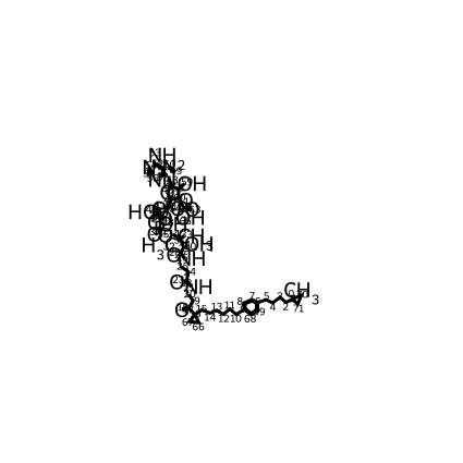 CC1(CCCCc2ccc(CCCCCCC3(C(=O)CCNC(=O)CCNC(=O)C(O)C(C)(C)COP(=O)(O)OP(=O)(O)OCC4OC(n5cnc6c(N)ncnc65)C(O)C4OP(=O)(O)O)CC3)cc2)CC1